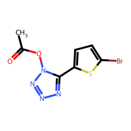 CC(=O)On1nnnc1-c1ccc(Br)s1